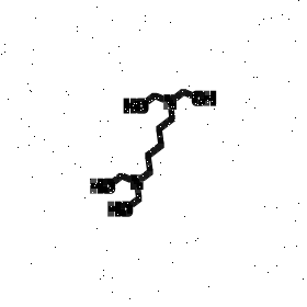 OCN(CO)CCCCCN(CO)CO